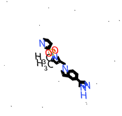 CC1(C)CC(Cn2ccc3cc(-c4cn[nH]c4)ccc32)CN1S(=O)(=O)c1cccnc1